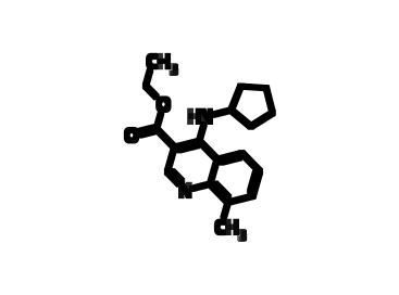 CCOC(=O)c1cnc2c(C)cccc2c1NC1CCCC1